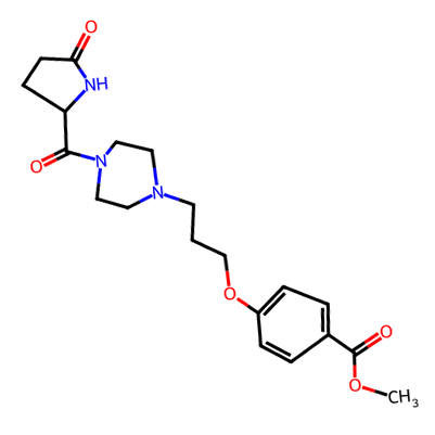 COC(=O)c1ccc(OCCCN2CCN(C(=O)C3CCC(=O)N3)CC2)cc1